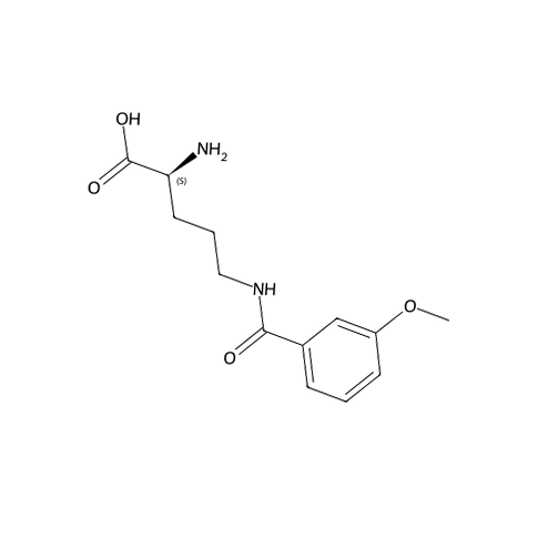 COc1cccc(C(=O)NCCC[C@H](N)C(=O)O)c1